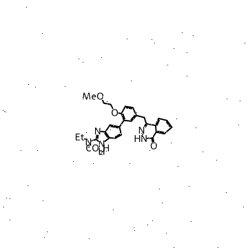 CCN(C(=O)O)c1nc2cc(-c3cc(Cc4n[nH]c(=O)c5ccccc45)ccc3OCCOC)ccc2[nH]1